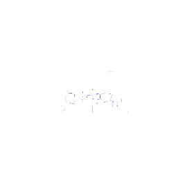 C[S+]([O-])c1cccc(C(=O)/N=c2\[nH]c3cc(N4CCOCC4=O)ccc3n2CCCO)c1